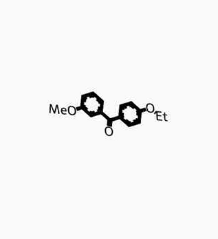 CCOc1ccc(C(=O)c2cccc(OC)c2)cc1